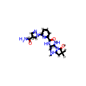 CN/C=C(/NC(=O)c1cccc(-n2cc(C(N)=O)cn2)n1)C(=N)N1CCC(C)(C)C1=O